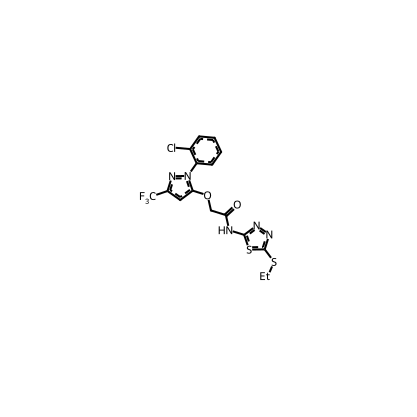 CCSc1nnc(NC(=O)COc2cc(C(F)(F)F)nn2-c2ccccc2Cl)s1